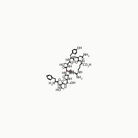 C[C@@H](O)[C@H](NC(=O)[C@H](CO)NC(=O)[C@H](CO)NC(=O)[C@@H](NC(=O)[C@@H](N)Cc1ccccc1)[C@@H](C)O)C(=O)N[C@@H](CO)C(=O)N[C@@H](Cc1ccc(O)cc1)C(=O)N[C@@H](CC(N)=O)C(=O)N[C@@H](CCCNC(=N)N)C(=O)O